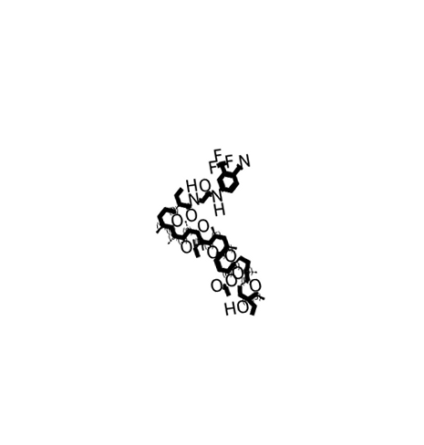 CCC(C(=O)NCC(=O)Nc1ccc(C#N)c(C(F)(F)F)c1)[C@H]1CC[C@H](C)[C@H]([C@@H](C)[C@H](O)[C@H](C)C(=O)[C@H](CC)[C@H]2O[C@]3(C=C[C@@H](OC(C)=O)[C@]4(CC[C@@](C)([C@H]5CC[C@](O)(CC)[C@H](C)O5)O4)O3)[C@H](C)C[C@@H]2C)O1